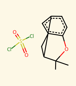 CC1(C)Oc2ccc3cc2CC31.O=S(=O)(Cl)Cl